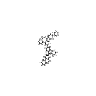 c1ccc(-c2ccc(C3CCc4ccccc4-c4cc(-c5ccc6c(c5)c5ccccc5n6-c5ccc6c(ccc7ccccc76)c5)ccc43)cc2)cc1